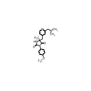 CN(C)Cc1cc(CC2(C)NC(=O)N(c3ccc(OC(F)(F)F)cc3)C2=O)ccn1